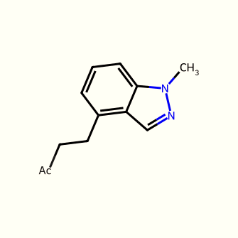 CC(=O)CCc1cccc2c1cnn2C